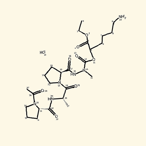 CCOC(=O)C(CCCCN)OC(=O)N(C)NC(=O)[C@@H]1CCCN1C(=O)[C@H](C)NC(=O)[C@@H]1CCCN1C(C)=O.Cl